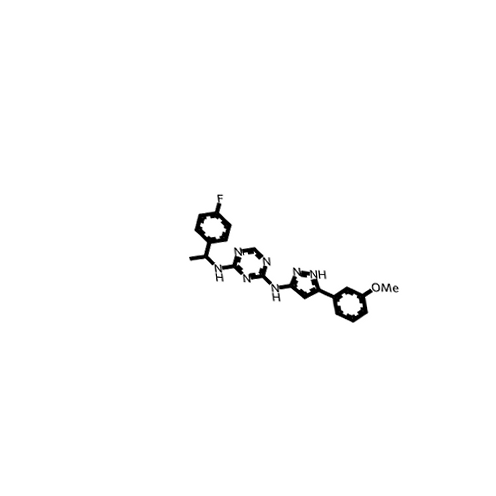 COc1cccc(-c2cc(Nc3ncnc(NC(C)c4ccc(F)cc4)n3)n[nH]2)c1